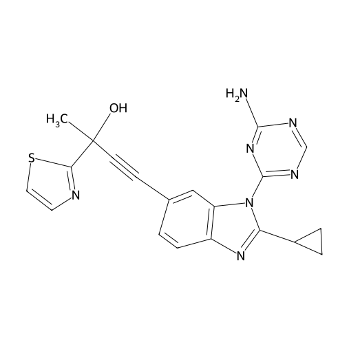 CC(O)(C#Cc1ccc2nc(C3CC3)n(-c3ncnc(N)n3)c2c1)c1nccs1